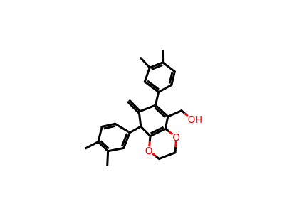 C=C1C(c2ccc(C)c(C)c2)=C(CO)C2=C(OCCO2)C1c1ccc(C)c(C)c1